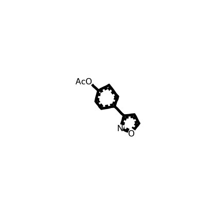 CC(=O)Oc1ccc(-c2ccon2)cc1